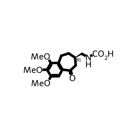 COc1cc2c(c(OC)c1OC)CC[C@@H](CNC(=O)O)CC2=O